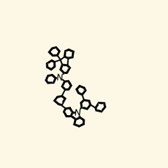 c1ccc(-c2cc(-c3ccccc3)cc(-n3c4ccccc4c4ccc(-c5cccc(-c6cccc(N(c7ccccc7)c7ccc8c(c7)C(c7ccccc7)(c7ccccc7)c7ccccc7-8)c6)c5)cc43)c2)cc1